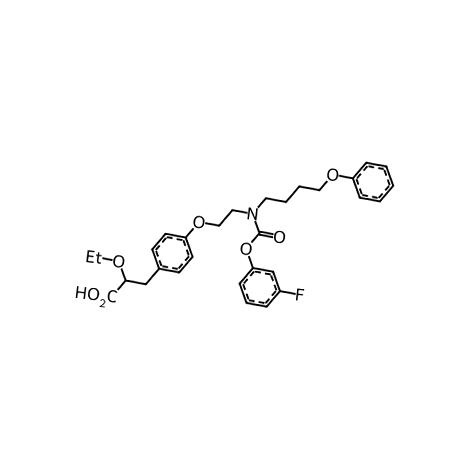 CCOC(Cc1ccc(OCCN(CCCCOc2ccccc2)C(=O)Oc2cccc(F)c2)cc1)C(=O)O